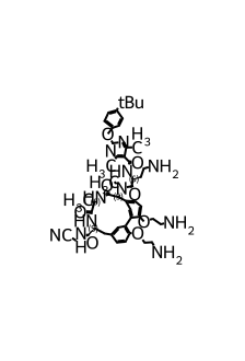 Cc1nc(Oc2ccc(C(C)(C)C)cc2)nc(C)c1C(=O)N[C@@H](CCN)C(=O)N(C)[C@@H]1C(=O)N[C@@H](C)C(=O)N[C@H](C(=O)NCC#N)Cc2ccc(OCCN)c(c2)-c2cc1ccc2OCCN